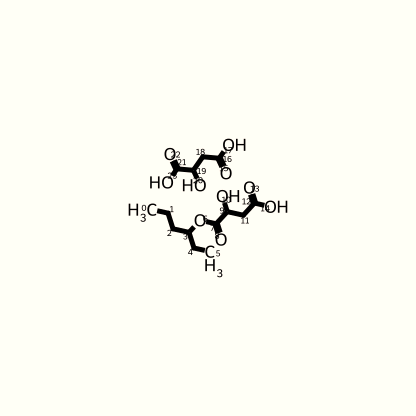 CCCC(CC)OC(=O)C(O)CC(=O)O.O=C(O)CC(O)C(=O)O